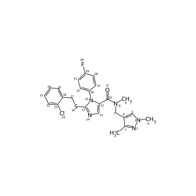 Cc1nn(C)cc1CN(C)C(=O)c1cnc(SCc2ccccc2Cl)n1-c1ccc(F)cc1